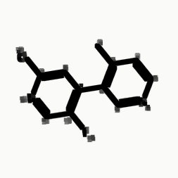 Cc1ccncc1-c1cc(Cl)ncc1F